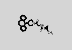 CC1C[C@H]1C(=O)NCC(=O)N1CCC(=C2c3ccccc3CCc3ccccc32)CC1